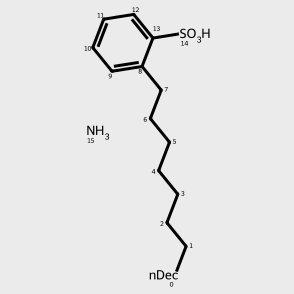 CCCCCCCCCCCCCCCCCc1ccccc1S(=O)(=O)O.N